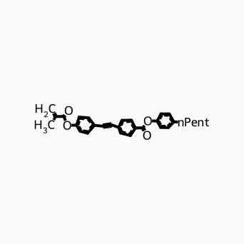 C=C(C)C(=O)Oc1ccc(C#Cc2ccc(C(=O)Oc3ccc(CCCCC)cc3)cc2)cc1